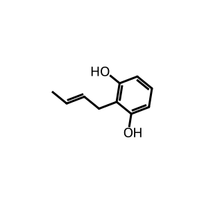 C/C=C/Cc1c(O)cccc1O